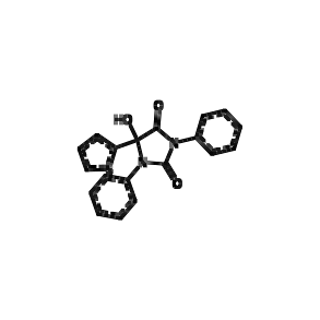 O=C1N(c2ccccc2)C(=O)C(O)(c2cccs2)N1c1ccccc1